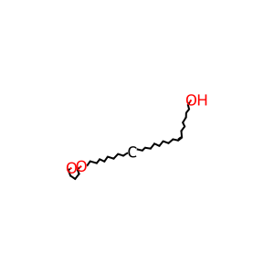 OCCCCCCC/C=C\CCCCCCCCCCCCCCCCCCCCOC1CCCCO1